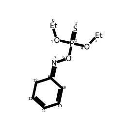 CCOP(=S)(OCC)ON=C1[C]=CC=CC1